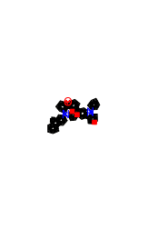 CC1(C)c2ccccc2-c2ccc(N(c3ccccc3)c3cccc4oc5ccc(-c6ccc7c8ccccc8n(-c8ccccc8)c7c6)cc5c34)cc21